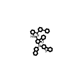 c1ccc(-c2cccc(C3=NC(c4ccc(N(c5ccc6ccccc6c5)c5ccc6c(c5)sc5ccccc56)c5oc6ccccc6c45)Nc4ccccc43)c2)cc1